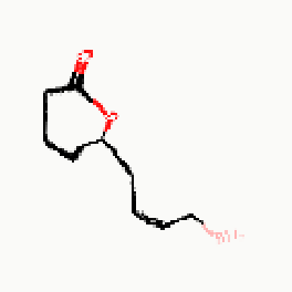 BC/C=C\CC1CCCC(=O)O1